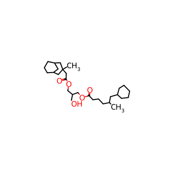 CC(CCCC(=O)OCC(CO)COC(=O)CC1(C)CC2CCCC(C2)C1)CC1CCCCC1